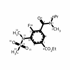 CCCN(C)C(=O)c1cc(C(=O)OCC)cc(N(C)S(C)(=O)=O)c1F